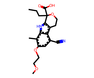 CCCC1(C(=O)O)OCCc2c1[nH]c1c(C)c(OCCOC)cc(C#N)c21